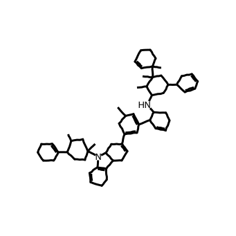 CC1C=C(C2C=CCCC2NC2CC(C3C=CC=CC3)CC(C)(C3(C)C=CCCC3)C2C)C=C(C2=CCC3C4=C(C=CCC4)N(C4(C)CCC(C5=CCCCC5)C(C)C4)C3C2)C1